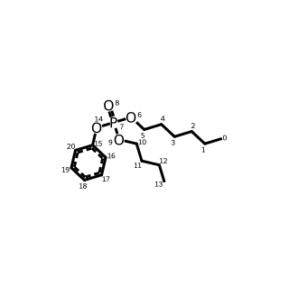 CCCCCCOP(=O)(OCCCC)Oc1ccccc1